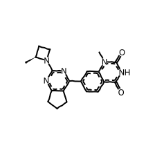 C[C@H]1CCN1c1nc2c(c(-c3ccc4c(=O)[nH]c(=O)n(C)c4c3)n1)CCC2